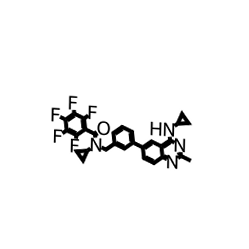 Cc1nc(NC2CC2)c2cc(-c3cccc(CN(C(=O)c4c(F)c(F)c(F)c(F)c4F)C4CC4)c3)ccc2n1